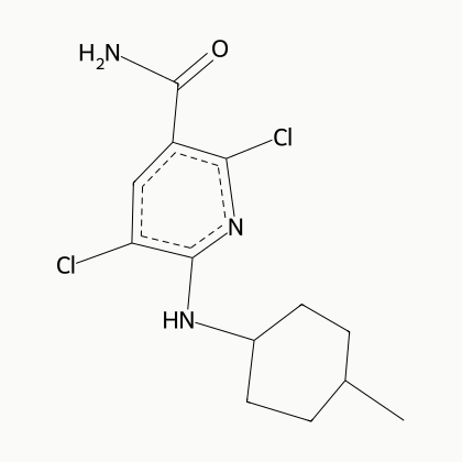 CC1CCC(Nc2nc(Cl)c(C(N)=O)cc2Cl)CC1